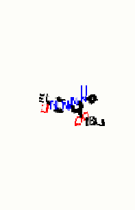 CCC(=O)N1CCN(c2cc(C(=O)OC(C)(C)C)cc(NC3CCC3)n2)CC1